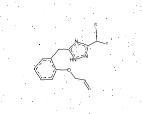 C=CCOc1ccccc1Cc1nc(C(F)F)n[nH]1